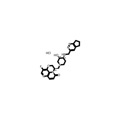 Cl.O=c1ccc2ncc(F)c3c2n1[C@H](CN1CC[C@H](NCc2cc4c(nn2)CCC4)[C@H](O)C1)CO3